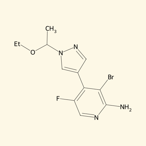 CCOC(C)n1cc(-c2c(F)cnc(N)c2Br)cn1